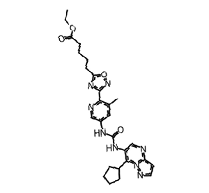 CCOC(=O)CCCCc1nc(-c2ncc(NC(=O)Nc3cnc4ccnn4c3C3CCCC3)cc2C)no1